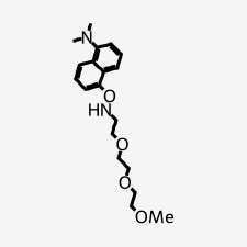 COCCOCCOCCNOc1cccc2c(N(C)C)cccc12